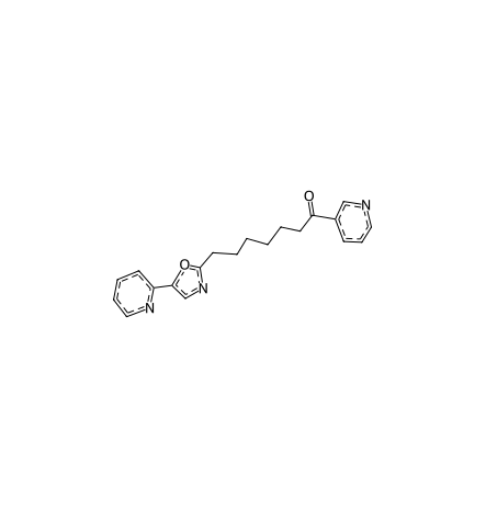 O=C(CCCCCCc1ncc(-c2ccccn2)o1)c1cccnc1